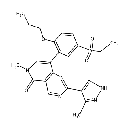 CCCOc1ccc(S(=O)(=O)CC)cc1-c1cn(C)c(=O)c2cnc(-c3c[nH]nc3C)nc12